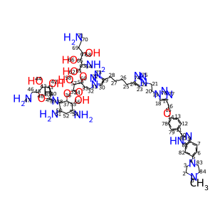 CN1CCN(c2ccc3nc(-c4ccc(OCc5cn(CCn6cc(CCCCc7cn(CC8OC(OC9[C@H](N%10C%11[C@@H](O)[C@H](O)C(CN)O[C@@H]%11%10)C(N)C[C@@H](N)[C@H]9O)[C@@H](O)[C@H]8O[C@@H](O)C(N)C(O)[C@H](O)CCN)nn7)nn6)nn5)cc4)[nH]c3c2)CC1